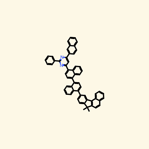 CC1(C)c2ccc(-c3ccc(-c4ccc(-c5cc(-c6ccc7ccccc7c6)nc(-c6ccccc6)n5)c5ccccc45)c4ccccc34)cc2-c2c1ccc1ccccc21